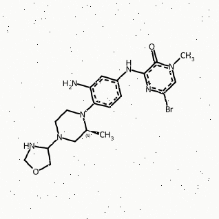 C[C@H]1CN(C2COCN2)CCN1c1ccc(Nc2nc(Br)cn(C)c2=O)cc1N